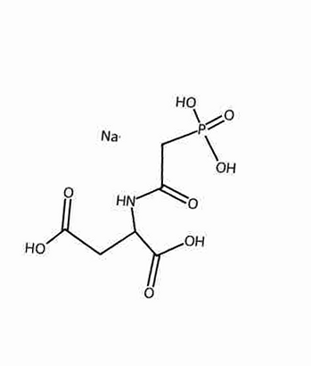 O=C(O)CC(NC(=O)CP(=O)(O)O)C(=O)O.[Na]